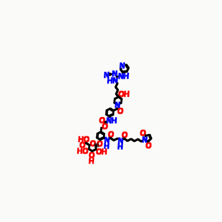 N#C/N=C(\NCCCCC1(O)CCN(C(=O)c2cccc(NC(=O)OCc3ccc(O[C@@H]4OC(C(=O)O)C(O)C(O)C4O)c(NC(=O)CCNC(=O)CCCCCN4C(=O)C=CC4=O)c3)c2)CC1)Nc1cccnc1